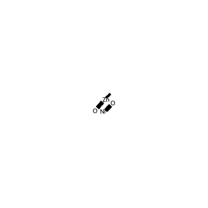 [CH3][Zn]=[O].[O]=[Ni]